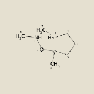 CNOC1(C)CCC[SiH]1C